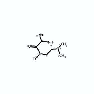 CCN(CCN(C)C)C(=O)C([NH])C(C)(C)C